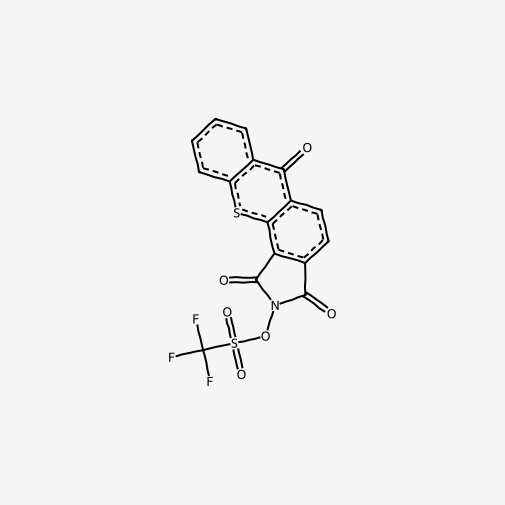 O=C1c2ccc3c(=O)c4ccccc4sc3c2C(=O)N1OS(=O)(=O)C(F)(F)F